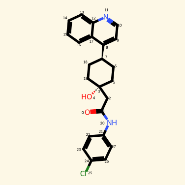 O=C(C[C@]1(O)CC[C@H](c2ccnc3ccccc32)CC1)Nc1ccc(Cl)cc1